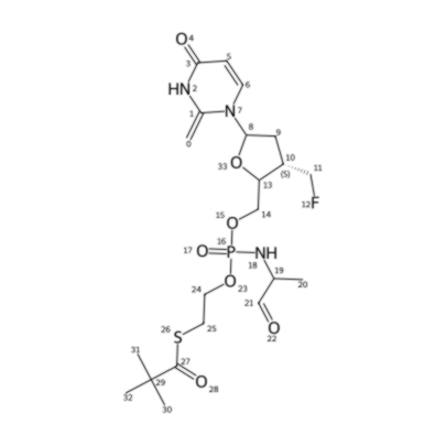 C=C1NC(=O)C=CN1C1C[C@H](CF)C(COP(=O)(NC(C)C=O)OCCSC(=O)C(C)(C)C)O1